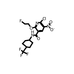 O=C(NC1CCC(C(F)(F)F)CC1)c1cc([N+](=O)[O-])c(Cl)nc1OCCF